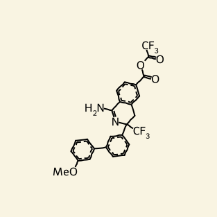 COc1cccc(-c2cccc(C3(C(F)(F)F)Cc4cc(C(=O)OC(=O)C(F)(F)F)ccc4C(N)=N3)c2)c1